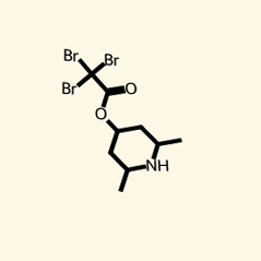 CC1CC(OC(=O)C(Br)(Br)Br)CC(C)N1